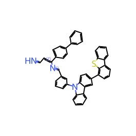 N=C/C=C(\N=C\c1cccc(-n2c3ccccc3c3cc(-c4cccc5c4sc4ccccc45)ccc32)c1)c1ccc(-c2ccccc2)cc1